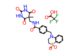 CC1(CNC(=O)c2ccc(CN3CCS(=O)(=O)c4ccccc43)cc2)C(=O)NC(=O)NC1=O.O=C(O)C(F)(F)F